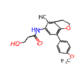 N#Cc1c(NC(=O)CCO)cc(-c2ccc(OC(F)(F)F)cc2)c2c1CCO2